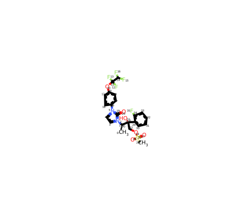 C[C@@H](n1ccn(-c2ccc(OC(F)(F)C(F)F)cc2)c1=O)[C@](O)(COS(C)(=O)=O)c1ccccc1F